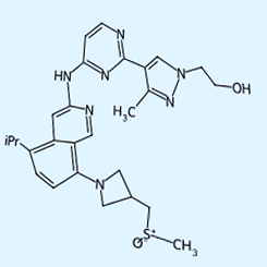 Cc1nn(CCO)cc1-c1nccc(Nc2cc3c(C(C)C)ccc(N4CC(C[S+](C)[O-])C4)c3cn2)n1